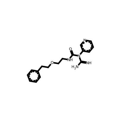 N=C(N)N(C(=O)NCCOCCc1ccccc1)c1cccnc1